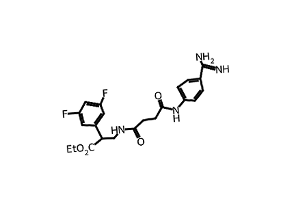 CCOC(=O)C(CNC(=O)CCC(=O)Nc1ccc(C(=N)N)cc1)c1cc(F)cc(F)c1